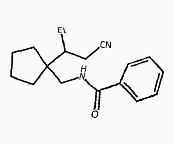 CCC(CC#N)C1(CNC(=O)c2ccccc2)CCCC1